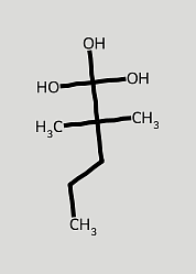 CCCC(C)(C)C(O)(O)O